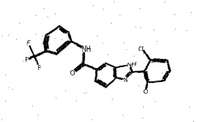 O=C(Nc1cccc(C(F)(F)F)c1)c1ccc2nc(-c3c(Cl)cccc3Cl)[nH]c2c1